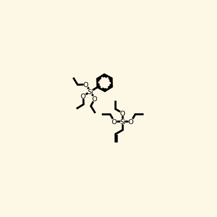 C=CC[Si](OCC)(OCC)OCC.CCO[Si](OCC)(OCC)c1ccccc1